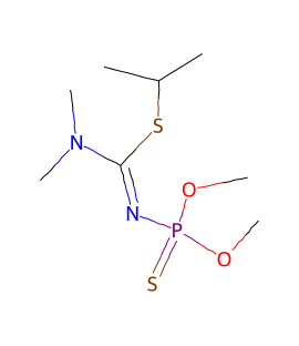 COP(=S)(N=C(SC(C)C)N(C)C)OC